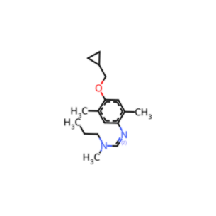 CCCN(C)/C=N\c1cc(C)c(OCC2CC2)cc1C